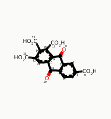 O=C(O)c1ccc2c(c1)C(=O)c1c(cc(C(=O)O)c(C(=O)O)c1C(=O)O)C2=O